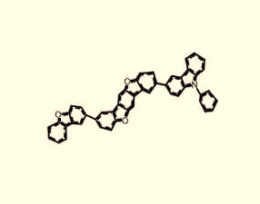 c1ccc(-n2c3ccccc3c3cc(-c4ccc5oc6cc7c(cc6c5c4)oc4ccc(-c5ccc6oc8ccccc8c6c5)cc47)ccc32)cc1